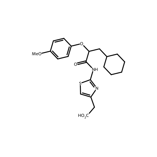 COc1ccc(OC(CC2CCCCC2)C(=O)Nc2nc(CC(=O)O)cs2)cc1